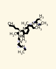 C=C(N/C=N/C=C\N=C/C)N(CCCCC)c1nc(/C(C)=C(CC)/N=C(CC)\N=C/C)ccc1N